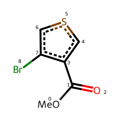 COC(=O)c1cscc1Br